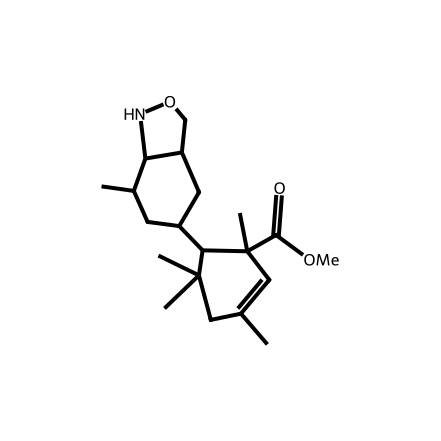 COC(=O)C1(C)C=C(C)CC(C)(C)C1C1CC(C)C2NOCC2C1